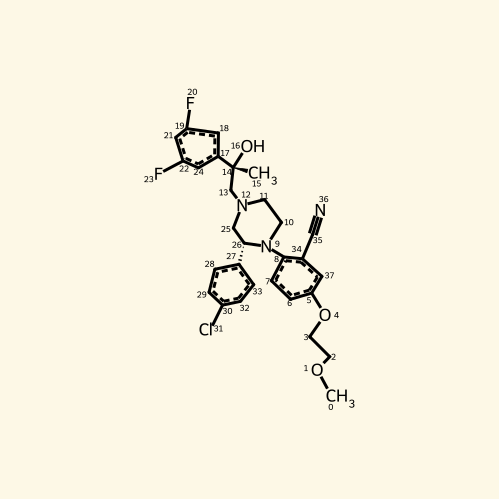 COCCOc1ccc(N2CCN(C[C@@](C)(O)c3cc(F)cc(F)c3)C[C@H]2c2ccc(Cl)cc2)c(C#N)c1